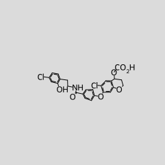 O=C(O)OC1CCOc2cc(Oc3ccc(C(=O)NCCc4ccc(Cl)cc4O)cc3)c(Cl)cc21